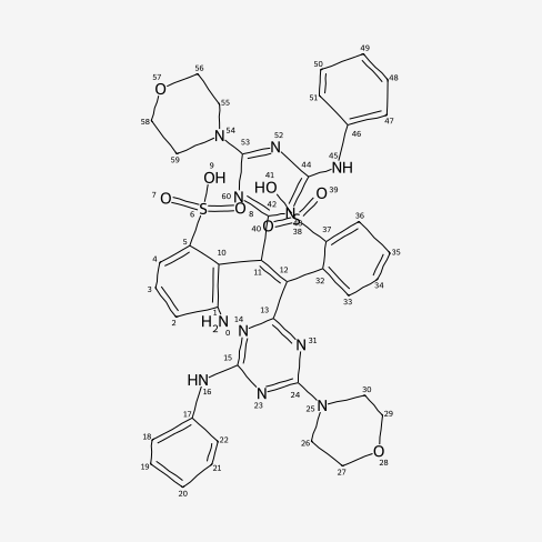 Nc1cccc(S(=O)(=O)O)c1C(=C(c1nc(Nc2ccccc2)nc(N2CCOCC2)n1)c1ccccc1S(=O)(=O)O)c1nc(Nc2ccccc2)nc(N2CCOCC2)n1